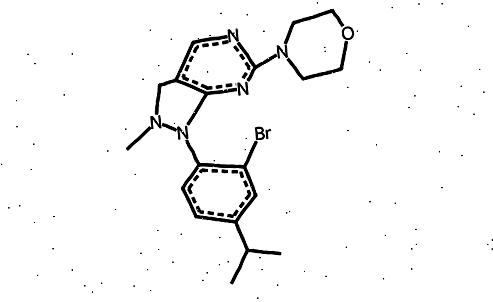 CC(C)c1ccc(N2c3nc(N4CCOCC4)ncc3CN2C)c(Br)c1